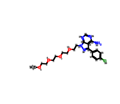 COCCOCCOCCOCCn1nc(-c2ccc(Cl)cc2)c2c(N)ncnc21